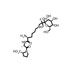 C[C@H](NC(=O)[C@@H](N)CCCCNCC(F)(F)C1(O)O[C@H](CO)[C@H](O)[C@H](O)[C@H]1O)C(=O)N1CCC[C@H]1C(=O)O